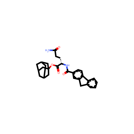 NC(=O)CC[C@H](NC(=O)c1ccc2c(c1)Cc1ccccc1-2)C(=O)OC12CC3CC(CC(C3)C1)C2